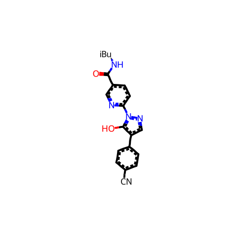 CC[C@H](C)NC(=O)c1ccc(-n2ncc(-c3ccc(C#N)cc3)c2O)nc1